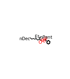 CCCCCCCCCCCCCCCCC(C(=O)OOC(=O)c1ccccc1)C(CC)CCCCC